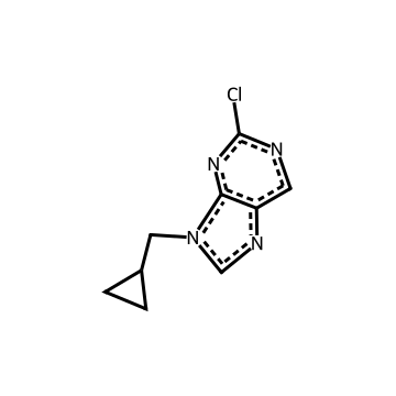 Clc1ncc2ncn(CC3CC3)c2n1